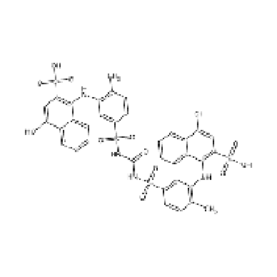 Cc1ccc(S(=O)(=O)NC(=O)NS(=O)(=O)c2ccc(C)c(Nc3c(S(=O)(=O)O)cc(O)c4ccccc34)c2)cc1Nc1c(S(=O)(=O)O)cc(O)c2ccccc12